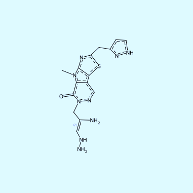 Cn1c2nc(Cc3cc[nH]n3)sc2c2cnn(C/C(N)=C/NN)c(=O)c21